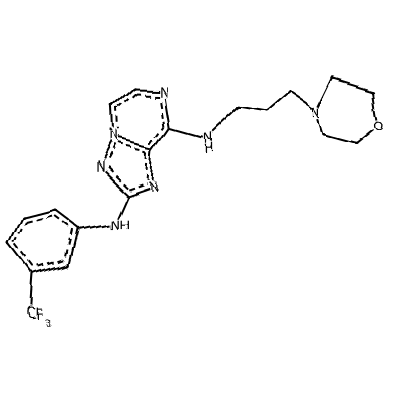 FC(F)(F)c1cccc(Nc2nc3c(NCCCN4CCOCC4)nccn3n2)c1